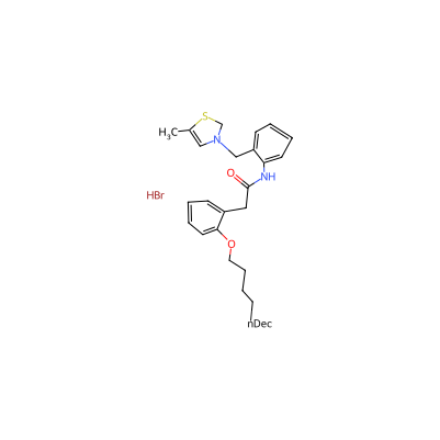 Br.CCCCCCCCCCCCCCOc1ccccc1CC(=O)Nc1ccccc1CN1C=C(C)SC1